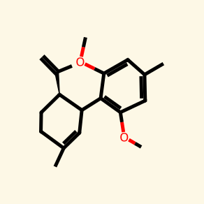 C=C(C)[C@@H]1CCC(C)=CC1c1c(OC)cc(C)cc1OC